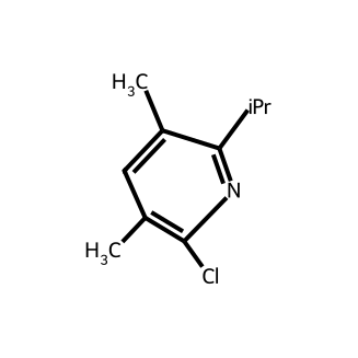 Cc1cc(C)c(C(C)C)nc1Cl